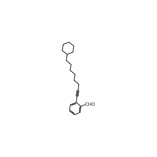 O=Cc1ccccc1C#CCCCCCCC1CCCCC1